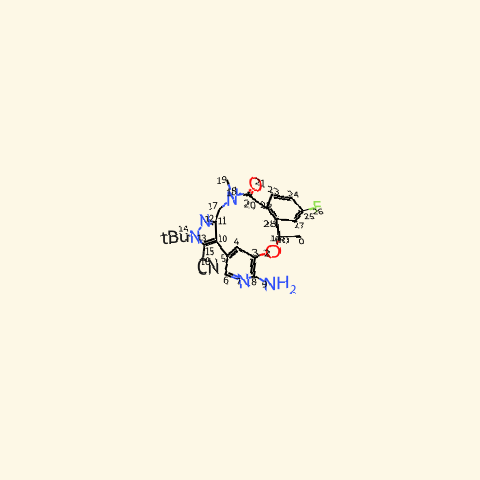 C[C@H]1Oc2cc(cnc2N)-c2c(nn(C(C)(C)C)c2C#N)CN(C)C(=O)c2ccc(F)cc21